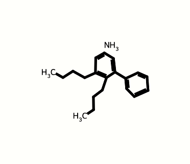 CCCCc1cccc(-c2ccccc2)c1CCCC.N